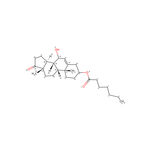 CCCCCCC(=O)OC1CC[C@@]2(C)C(=CC(O)[C@@H]3[C@H]2CC[C@]2(C)C(=O)CC[C@@H]32)C1